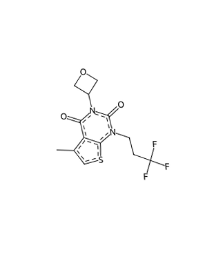 Cc1csc2c1c(=O)n(C1COC1)c(=O)n2CCC(F)(F)F